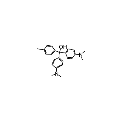 Cc1ccc(C(O)(c2ccc(N(C)C)cc2)c2ccc(N(C)C)cc2)cc1